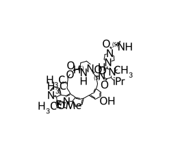 CCn1c(-c2cccnc2[C@H](C)OC)c2c3cc(ccc31)-c1cc(O)cc(c1)C[C@H](NC(=O)C(C(C)C)N(C)C(=O)N1CCN(C(=O)[C@@H]3CN3)CC1)C(=O)N1CCC[C@H](N1)C(=O)OCC(C)(C)C2